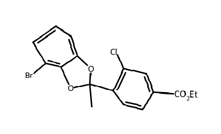 CCOC(=O)c1ccc(C2(C)Oc3cccc(Br)c3O2)c(Cl)c1